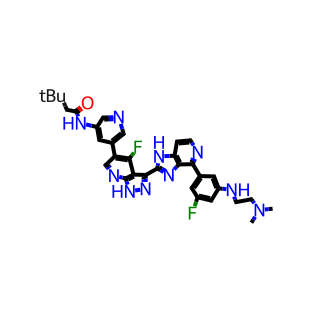 CN(C)CCNc1cc(F)cc(-c2nccc3[nH]c(-c4n[nH]c5ncc(-c6cncc(NC(=O)CC(C)(C)C)c6)c(F)c45)nc23)c1